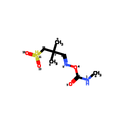 CNC(=O)ON=CC(C)(C)C[SH](=O)=O